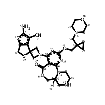 N#Cc1c(N)sc2c1C1(CN(c3nc(OCC4(CN5CCOCC5)CC4)nc4c3C(=O)OC[C@H]3CNCCN43)C1)SC2